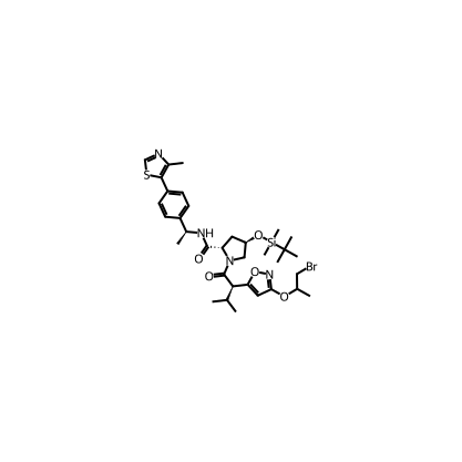 Cc1ncsc1-c1ccc([C@H](C)NC(=O)[C@@H]2C[C@@H](O[Si](C)(C)C(C)(C)C)CN2C(=O)[C@@H](c2cc(OC(C)CBr)no2)C(C)C)cc1